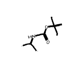 [CH2]C([CH2])NC(=O)OC(C)(C)C